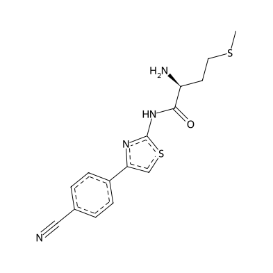 CSCC[C@H](N)C(=O)Nc1nc(-c2ccc(C#N)cc2)cs1